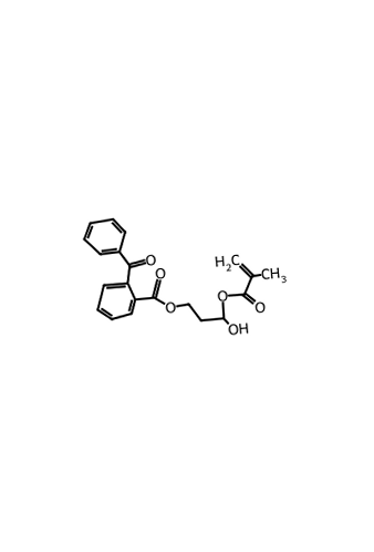 C=C(C)C(=O)OC(O)CCOC(=O)c1ccccc1C(=O)c1ccccc1